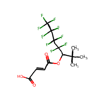 CC(C)(C)C(OC(=O)C=CC(=O)O)C(F)(F)C(F)(F)C(F)(F)C(F)(F)F